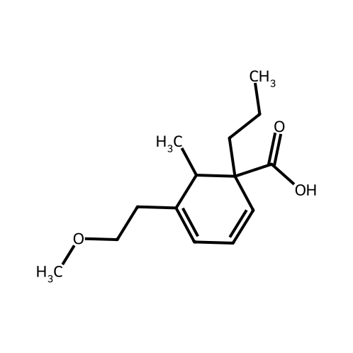 CCCC1(C(=O)O)C=CC=C(CCOC)C1C